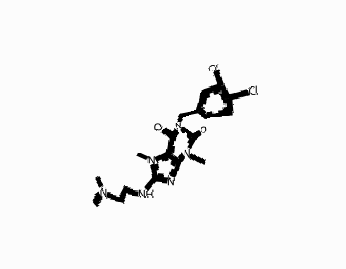 CN(C)CCNc1nc2c(c(=O)n(Cc3ccc(Cl)c(Cl)c3)c(=O)n2C)n1C